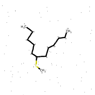 [CH2]SC(CCCCC)CCCCCC